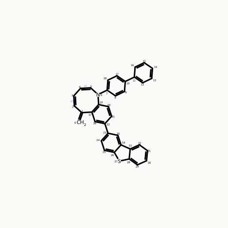 C=C1/C=C\C=C/N(c2ccc(-c3ccccc3)cc2)c2ccc(-c3ccc4sc5ccccc5c4c3)cc21